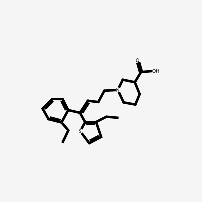 CCc1ccccc1C(=CCCN1CCCC(C(=O)O)C1)c1sccc1CC